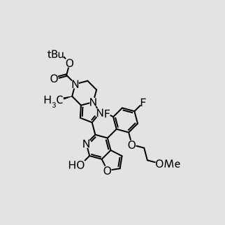 COCCOc1cc(F)cc(F)c1-c1c(-c2cc3n(n2)CCN(C(=O)OC(C)(C)C)[C@@H]3C)nc(O)c2occc12